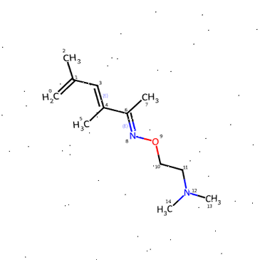 C=C(C)/C=C(C)/C(C)=N/OCCN(C)C